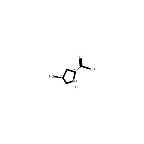 Cl.O=C(O)[C@H]1C[C@H](O)CN1